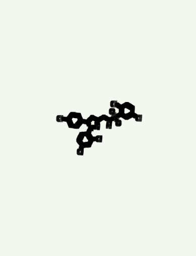 O=S(=O)(NCC1=NN(c2ccc(Cl)cc2Cl)C(c2ccc(Cl)cc2)C1)c1cc(Cl)ccc1Cl